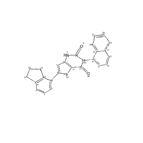 O=c1[nH]c2cc(-c3cccc4c3CCC4)sc2c(=O)n1-c1cccc2ccccc12